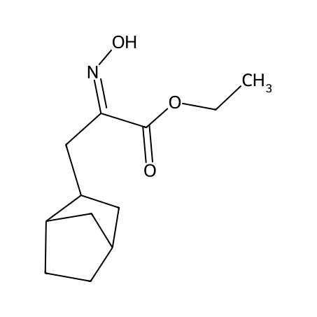 CCOC(=O)/C(CC1CC2CCC1C2)=N\O